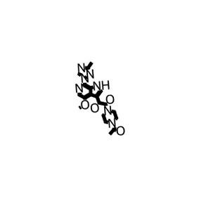 COc1cnc(-n2cnc(C)n2)c2[nH]cc(C(=O)C(=O)N3CCN(C(C)=O)CC3)c12